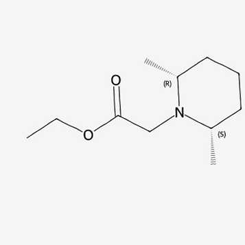 CCOC(=O)CN1[C@H](C)CCC[C@@H]1C